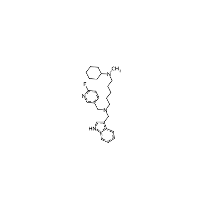 CN(CCCCCN(Cc1ccc(F)nc1)Cc1c[nH]c2ccccc12)C1CCCCC1